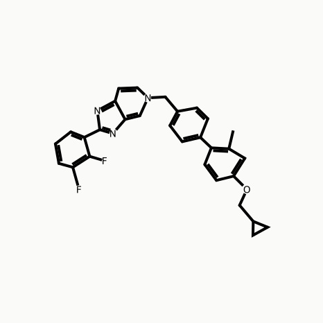 Cc1cc(OCC2CC2)ccc1-c1ccc(Cn2ccc3nc(-c4cccc(F)c4F)nc-3c2)cc1